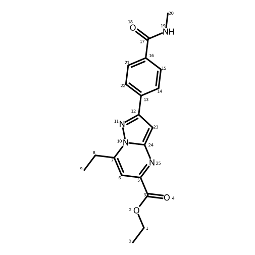 CCOC(=O)c1cc(CC)n2nc(-c3ccc(C(=O)NC)cc3)cc2n1